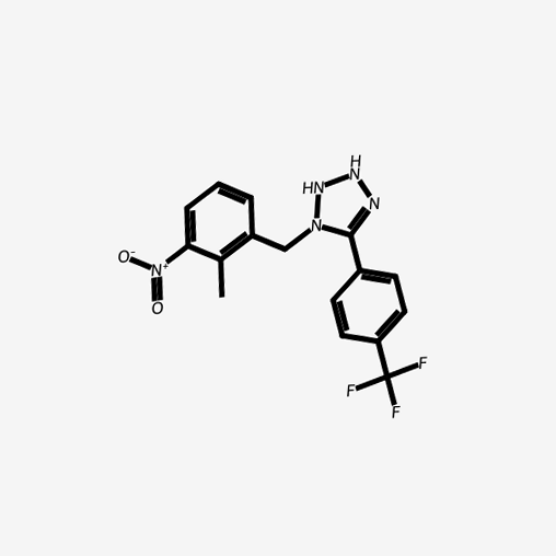 Cc1c(CN2NNN=C2c2ccc(C(F)(F)F)cc2)cccc1[N+](=O)[O-]